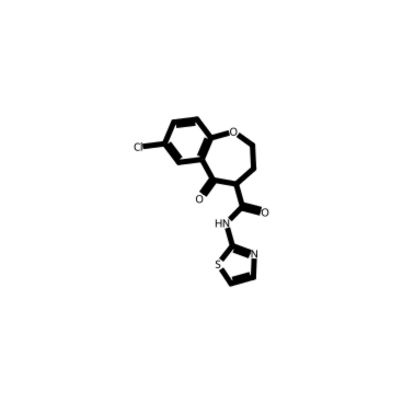 O=C(Nc1nccs1)C1CCOc2ccc(Cl)cc2C1=O